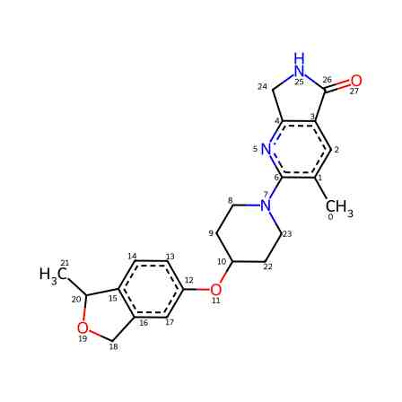 Cc1cc2c(nc1N1CCC(Oc3ccc4c(c3)COC4C)CC1)CNC2=O